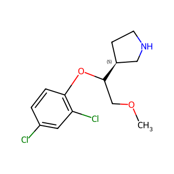 COCC(Oc1ccc(Cl)cc1Cl)[C@H]1CCNC1